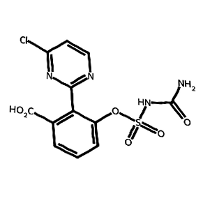 NC(=O)NS(=O)(=O)Oc1cccc(C(=O)O)c1-c1nccc(Cl)n1